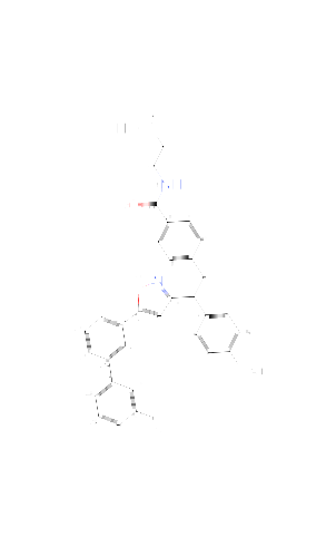 CC(C)(C)c1ccc(C(Cc2ccc(C(=O)NCCS(=O)(=O)O)cc2)c2cc(-c3cccc(-c4cccc(C(F)(F)F)c4)c3)on2)cc1